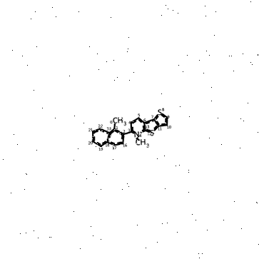 Cc1c(-c2ccc3c4sccc4sc3[n+]2C)ccc2ccccc12